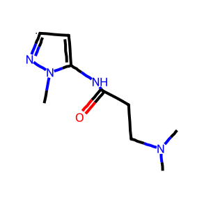 CN(C)CCC(=O)Nc1c[c]nn1C